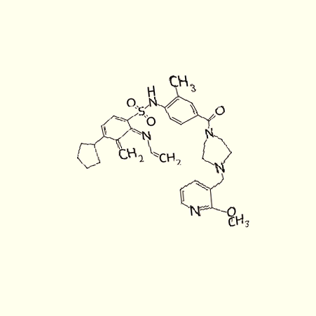 C=C/N=C1\C(=C)C(C2CCCC2)=CC=C1S(=O)(=O)Nc1ccc(C(=O)N2CCN(Cc3cccnc3OC)CC2)cc1C